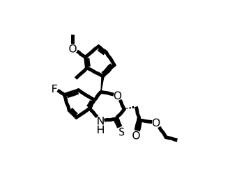 CCOC(=O)C[C@H]1O[C@H](c2cccc(OC)c2C)c2cc(F)ccc2NC1=S